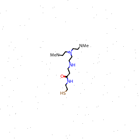 CNCCN(CCNC)CCNCCC(=O)NCCS